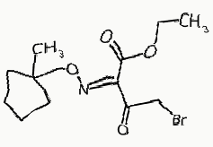 CCOC(=O)C(=NOC1(C)CCCC1)C(=O)CBr